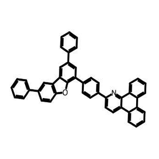 c1ccc(-c2ccc3oc4c(-c5ccc(-c6ccc7c8ccccc8c8ccccc8c7n6)cc5)cc(-c5ccccc5)cc4c3c2)cc1